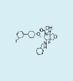 O=C(O)N1[C@@H]2COC[C@@H]2[C@H](NCc2ccccc2)[C@@H]1COC1CCC(c2cccc(F)c2)CC1